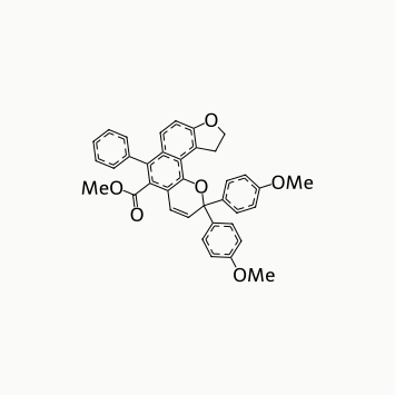 COC(=O)c1c2c(c3c4c(ccc3c1-c1ccccc1)OCC4)OC(c1ccc(OC)cc1)(c1ccc(OC)cc1)C=C2